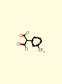 O=C(Cl)C(C(=O)Cl)c1cccc(C(F)(F)F)c1